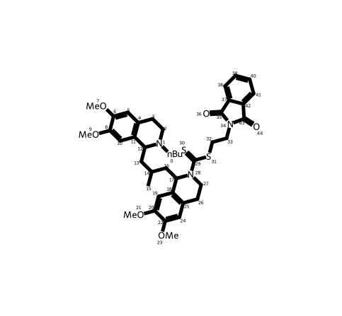 CCCCN1CCc2cc(OC)c(OC)cc2C1CC(C)CC1c2cc(OC)c(OC)cc2CCN1C(=S)SCCN1C(=O)c2ccccc2C1=O